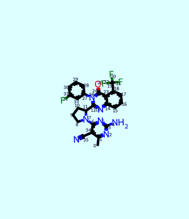 Cc1nc(N)nc(N2CCCC2c2nc3cccc(C(F)(F)F)c3c(=O)n2-c2cccc(F)c2)c1C#N